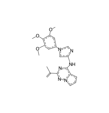 C=C(C)c1nc(Nc2cn(-c3cc(OC)c(OC)c(OC)c3)cn2)c2cccn2n1